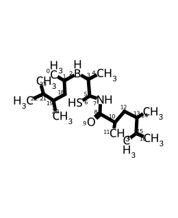 CC(BC(C)C(S)NC(=O)C(C)CC(C)C(C)C)CC(C)C(C)C